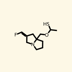 CC(S)OCC12CCCN1C/C(=C\F)C2